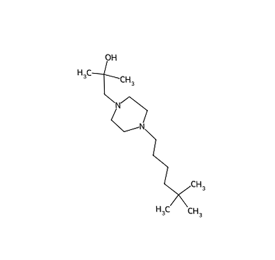 CC(C)(C)CCCCN1CCN(CC(C)(C)O)CC1